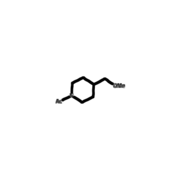 COCC1CCN(C(C)=O)CC1